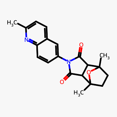 Cc1ccc2cc(N3C(=O)C4C(C3=O)C3(C)CCC4(C)O3)ccc2n1